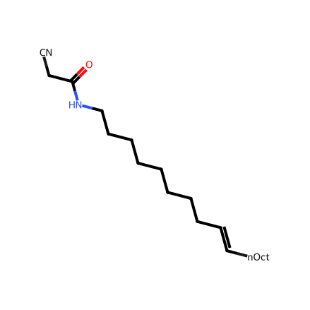 CCCCCCCCC=CCCCCCCCCNC(=O)CC#N